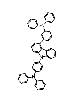 c1ccc(N(c2ccccc2)c2ccc(-n3c4ccccc4c4c(-c5cccc(N(c6ccccc6)c6ccccc6)c5)cccc43)cc2)cc1